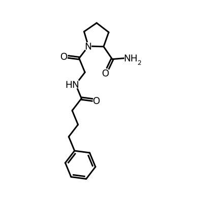 NC(=O)C1CCCN1C(=O)CNC(=O)CCCc1ccccc1